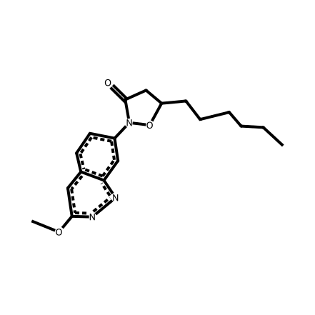 CCCCCCC1CC(=O)N(c2ccc3cc(OC)nnc3c2)O1